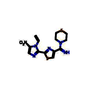 C=Cn1c([N+](=O)[O-])cnc1-c1nc(C(=N)N2CCSCC2)cs1